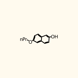 CCCOc1ccc2cc(O)ccc2c1